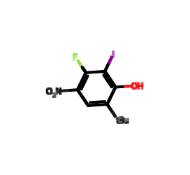 CC(C)(C)c1cc([N+](=O)[O-])c(F)c(I)c1O